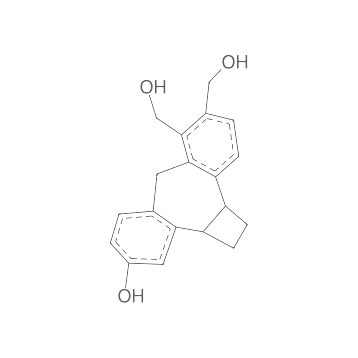 OCc1ccc2c(c1CO)Cc1ccc(O)cc1C1CCC21